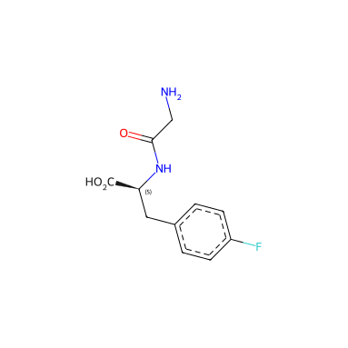 NCC(=O)N[C@@H](Cc1ccc(F)cc1)C(=O)O